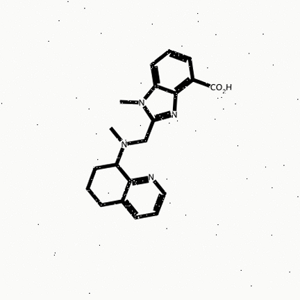 CN(Cc1nc2c(C(=O)O)cccc2n1C)C1CCCc2cccnc21